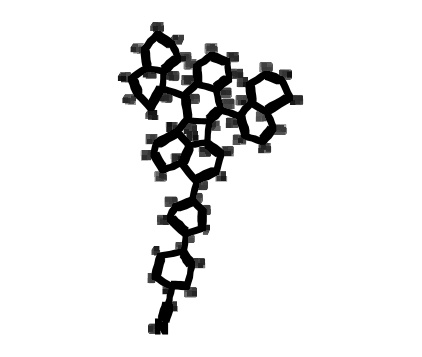 N#Cc1ccc(-c2ccc(-c3ccc4c5c(cccc35)-c3c-4c(-c4cccc5ccccc45)c4ccccc4c3-c3cccc4ccccc34)cc2)cc1